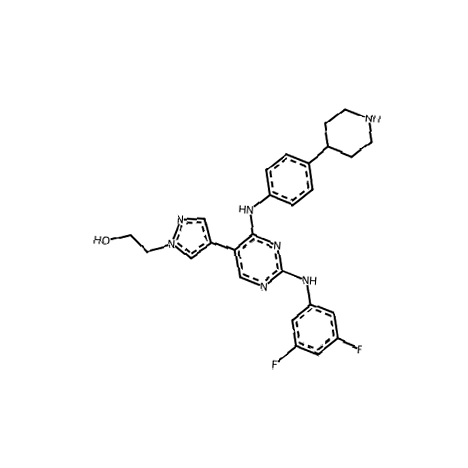 OCCn1cc(-c2cnc(Nc3cc(F)cc(F)c3)nc2Nc2ccc(C3CCNCC3)cc2)cn1